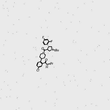 CC(C)NC(=O)c1cc(Cl)ccc1C1CCN(C(=O)C2CN(C(C)(C)C)C[C@H]2c2ccc(F)cc2F)CC1